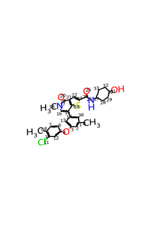 Cc1cc(Oc2ccc(C)c(Cl)c2)cc(-c2cn(C)c(=O)c3cc(C(=O)NC4CCC(O)CC4)sc23)c1